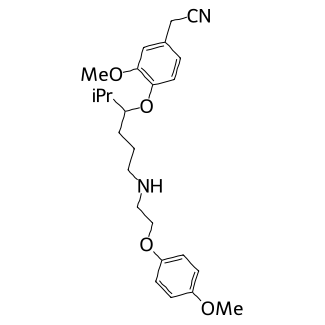 COc1ccc(OCCNCCCC(Oc2ccc(CC#N)cc2OC)C(C)C)cc1